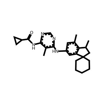 Cc1cc(Nc2ncnc(NC(=O)C3CC3)c2C)cc2c1C(C)CC21CCCCC1